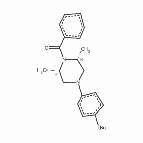 C[C@@H]1CN(c2ccc(C(C)(C)C)cc2)C[C@H](C)N1C(=O)c1ccccc1